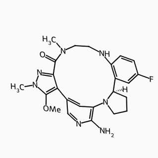 COc1c2c(nn1C)C(=O)N(C)CCNc1ccc(F)cc1[C@H]1CCCN1c1cc-2cnc1N